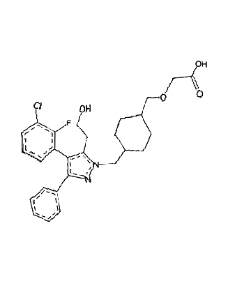 O=C(O)COCC1CCC(Cn2nc(-c3ccccc3)c(-c3cccc(Cl)c3F)c2CCO)CC1